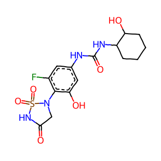 O=C1CN(c2c(O)cc(NC(=O)NC3CCCCC3O)cc2F)S(=O)(=O)N1